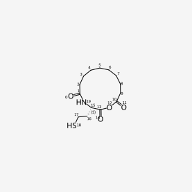 O=C1CCCCCCCCC(=O)OC(=O)[C@H](CCS)N1